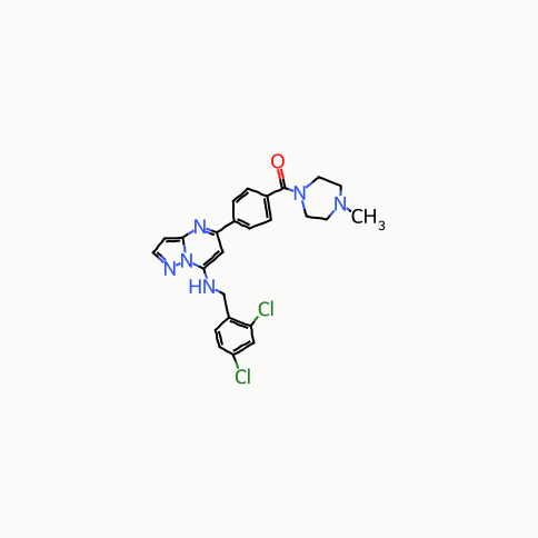 CN1CCN(C(=O)c2ccc(-c3cc(NCc4ccc(Cl)cc4Cl)n4nccc4n3)cc2)CC1